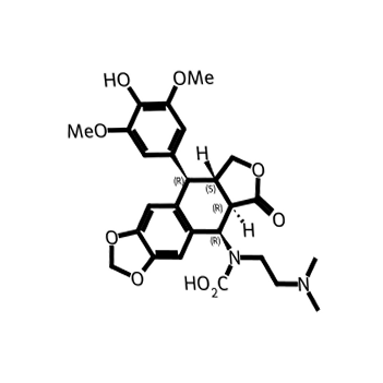 COc1cc([C@@H]2c3cc4c(cc3[C@H](N(CCN(C)C)C(=O)O)[C@@H]3C(=O)OC[C@@H]23)OCO4)cc(OC)c1O